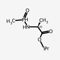 CC(C)OC(=O)[C@H](C)N[PH](C)=O